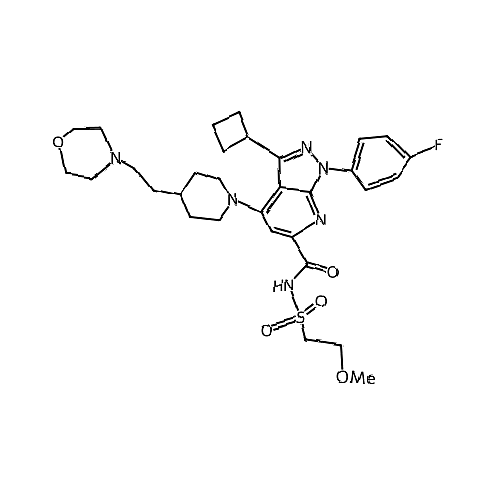 COCCS(=O)(=O)NC(=O)c1cc(N2CCC(CCN3CCOCC3)CC2)c2c(C3CCC3)nn(-c3ccc(F)cc3)c2n1